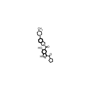 CN1CCN(c2ccc3c(c2)CN(C(=O)c2cc4c(C(=O)C5CCCC5)n[nH]c4cc2O)C3)CC1